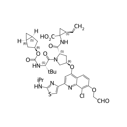 C=C[C@@H]1CC1(NC(=O)[C@@H]1C[C@@H](Oc2cc(-c3csc(NC(C)C)n3)nc3c(Cl)c(OCC=O)ccc23)CN1C(=O)[C@@H](NC(=O)O[C@@H]1C[C@@H]2C[C@@H]2C1)C(C)(C)C)C(=O)O